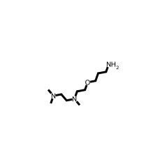 CN(C)CCN(C)CCOCCCN